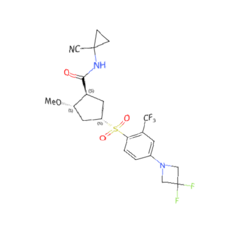 CO[C@H]1C[C@@H](S(=O)(=O)c2ccc(N3CC(F)(F)C3)cc2C(F)(F)F)C[C@@H]1C(=O)NC1(C#N)CC1